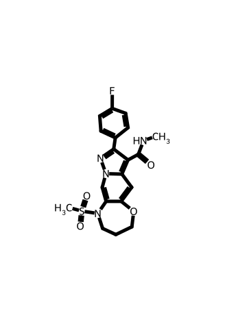 CNC(=O)c1c(-c2ccc(F)cc2)nn2cc3c(cc12)OCCCN3S(C)(=O)=O